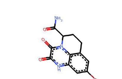 NC(=O)C1CCc2cc(Br)cc3[nH]c(=O)c(=O)n1c23